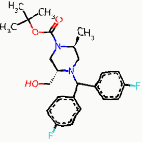 C[C@H]1CN(C(c2ccc(F)cc2)c2ccc(F)cc2)[C@H](CO)CN1C(=O)OC(C)(C)C